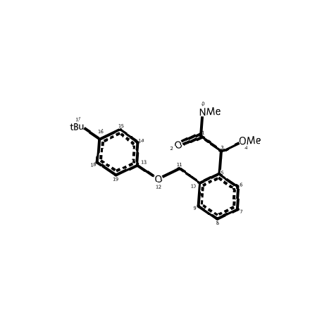 CNC(=O)C(OC)c1ccccc1COc1ccc(C(C)(C)C)cc1